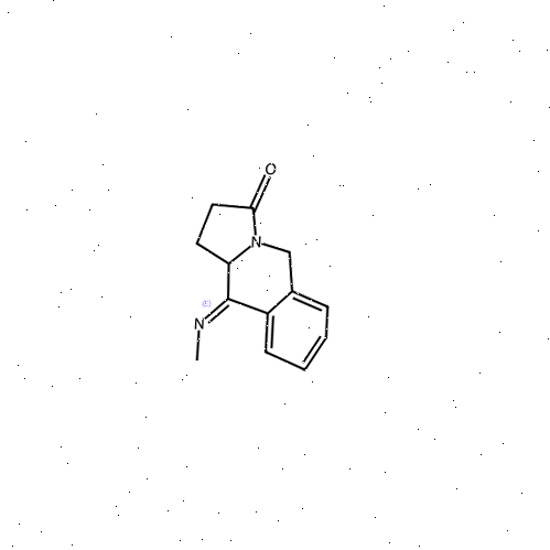 C/N=C1\c2ccccc2CN2C(=O)CCC12